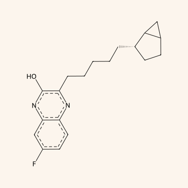 Oc1nc2cc(F)ccc2nc1CCCCC[C@H]1CCC2CC21